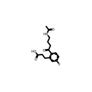 CC(=O)NCCCC(=O)c1ccc(F)cc1CCC(=O)O